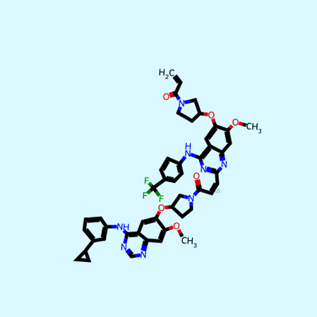 C=CC(=O)N1CCC(Oc2cc3c(Nc4ccc(C(F)(F)F)cc4)nc(/C=C\C(=O)N4CCC(Oc5cc6c(Nc7cccc(C8CC8)c7)ncnc6cc5OC)C4)nc3cc2OC)C1